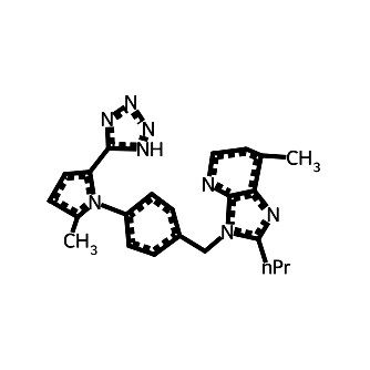 CCCc1nc2c(C)ccnc2n1Cc1ccc(-n2c(C)ccc2-c2nnn[nH]2)cc1